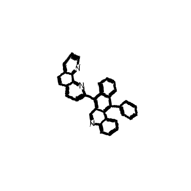 c1ccc(-c2c3ccccc3c(-c3ccc4ccc5cccnc5c4n3)c3cnc4ccccc4c23)cc1